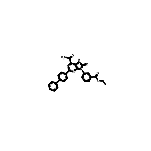 CCOC(=O)c1cccc(-n2c(=O)[nH]c3c(C(N)=O)nc(-c4ccc(-c5ccccc5)cc4)nc32)c1